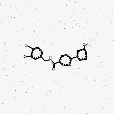 COc1cccc(-c2ccc(C(=O)NCc3ccc(Cl)c(Cl)c3)cn2)c1